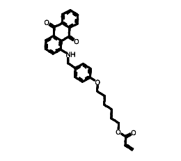 C=CC(=O)OCCCCCCOc1ccc(CNc2cccc3c2C(=O)c2ccccc2C3=O)cc1